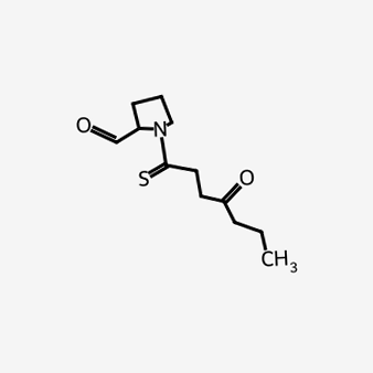 CCCC(=O)CCC(=S)N1CCCC1C=O